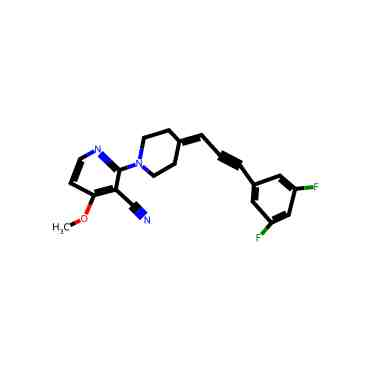 COc1ccnc(N2CCC(=CC#Cc3cc(F)cc(F)c3)CC2)c1C#N